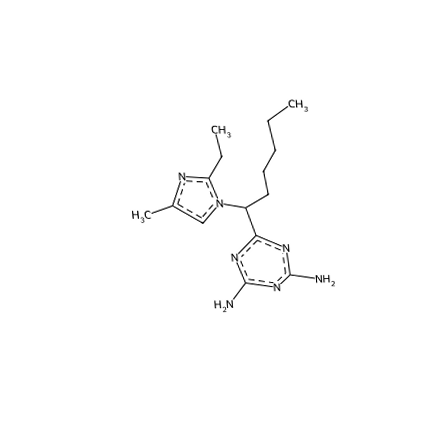 CCCCCC(c1nc(N)nc(N)n1)n1cc(C)nc1CC